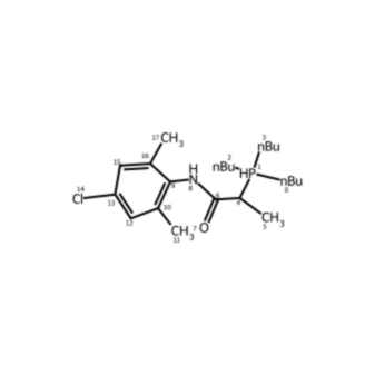 CCCC[PH](CCCC)(CCCC)C(C)C(=O)Nc1c(C)cc(Cl)cc1C